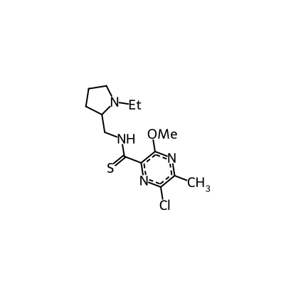 CCN1CCCC1CNC(=S)c1nc(Cl)c(C)nc1OC